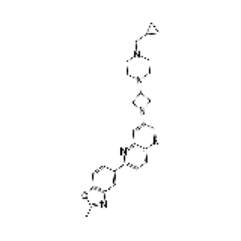 Cc1nc2cc(-c3ccc4ncc(N5CC(N6CCN(CC7CC7)CC6)C5)cc4n3)ccc2o1